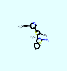 CC#Cc1cncc(-c2cc(C)c([C@]3(C)CC4(CCCCC4)SC(N)=N3)s2)c1